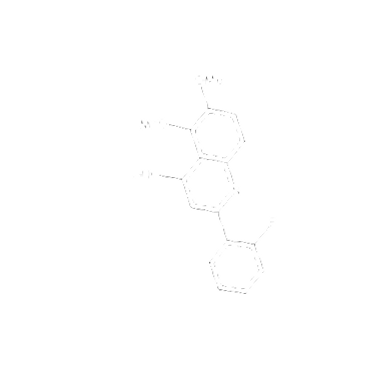 COc1ccc2nc(-c3ccccc3F)cc(C=O)c2c1OC